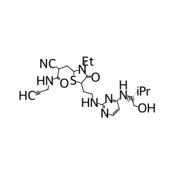 C#CCNC(=O)C(C#N)CC1SC(CCNc2nccc(N[C@@H](CO)C(C)C)n2)C(=O)N1CC